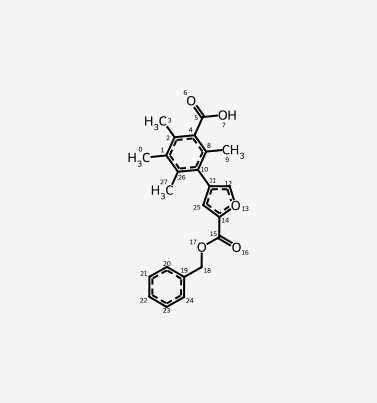 Cc1c(C)c(C(=O)O)c(C)c(-c2coc(C(=O)OCc3ccccc3)c2)c1C